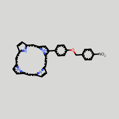 O=[N+]([O-])c1ccc(COc2ccc(-c3cc4cc5nc(cc6ccc(cc7nc(cc3[nH]4)C=C7)[nH]6)C=C5)cc2)cc1